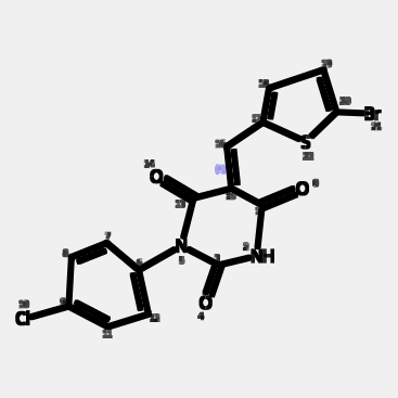 O=C1NC(=O)N(c2ccc(Cl)cc2)C(=O)/C1=C/c1ccc(Br)s1